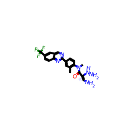 Cc1cc(-c2ncc3cc(C(F)(F)F)ccc3n2)ccc1N(C)C(=O)/C(=C/N)NN